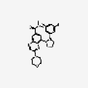 Cc1cc(F)cc(N2CCCC2c2cc(C(=O)N(C)C)cc3ncc(N4CCOCC4)nc23)c1